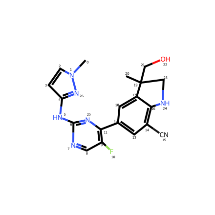 Cn1ccc(Nc2ncc(F)c(-c3cc(C#N)c4c(c3)C(C)(CO)CN4)n2)n1